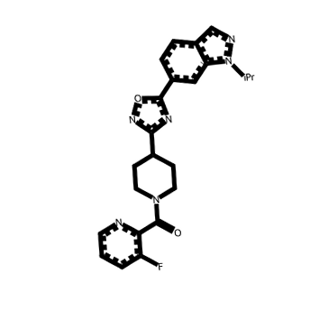 CC(C)n1ncc2ccc(-c3nc(C4CCN(C(=O)c5ncccc5F)CC4)no3)cc21